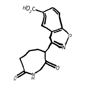 O=C1CCC(c2noc3ccc(C(=O)O)cc23)C(=O)N1